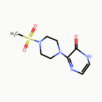 CS(=O)(=O)N1CCN(c2ncc[nH]c2=O)CC1